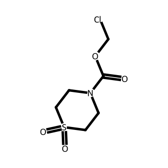 O=C(OCCl)N1CCS(=O)(=O)CC1